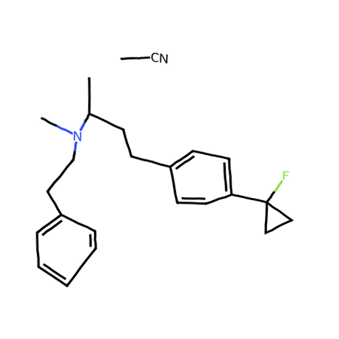 CC#N.CC(CCc1ccc(C2(F)CC2)cc1)N(C)CCc1ccccc1